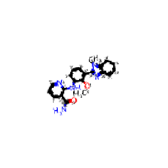 COc1c(Nc2ncccc2C(N)=O)cccc1-c1nc2ccccc2n1C